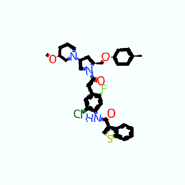 CO[C@@H]1CCCN([C@H]2C[C@@H](CO[C@H]3CC[C@H](C)CC3)N(C(=O)Cc3cc(Cl)c(NC(=O)c4csc5ccccc45)cc3F)C2)C1